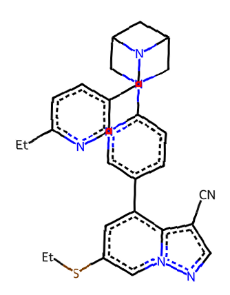 CCSc1cc(-c2ccc(N3CC4CC(C3)N4Cc3ccc(CC)nc3)nc2)c2c(C#N)cnn2c1